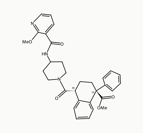 COC(=O)[C@]1(c2ccccc2)CC[C@@H](C(=O)N2CCC(NC(=O)c3cccnc3OC)CC2)c2ccccc21